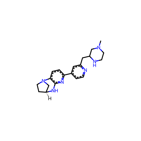 CN1CCNC(Cc2cc(-c3ccc4c(n3)N[C@H]3CCN4C3)ccn2)C1